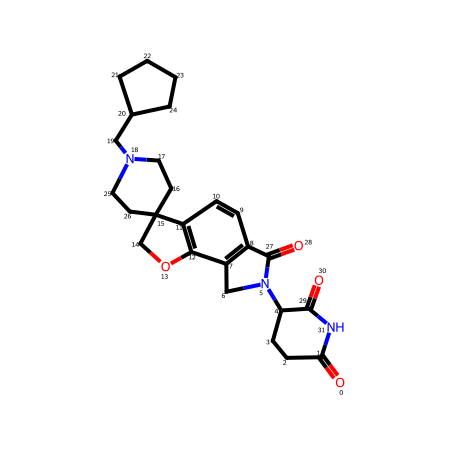 O=C1CCC(N2Cc3c(ccc4c3OCC43CCN(CC4CCCC4)CC3)C2=O)C(=O)N1